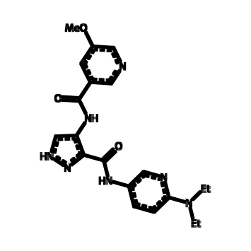 CCN(CC)c1ccc(NC(=O)c2n[nH]cc2NC(=O)c2cncc(OC)c2)cn1